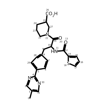 Cc1cnc(-c2ccc(CC(NC(=O)c3cccs3)C(=O)N3CCCC(C(=O)O)C3)cc2)nc1